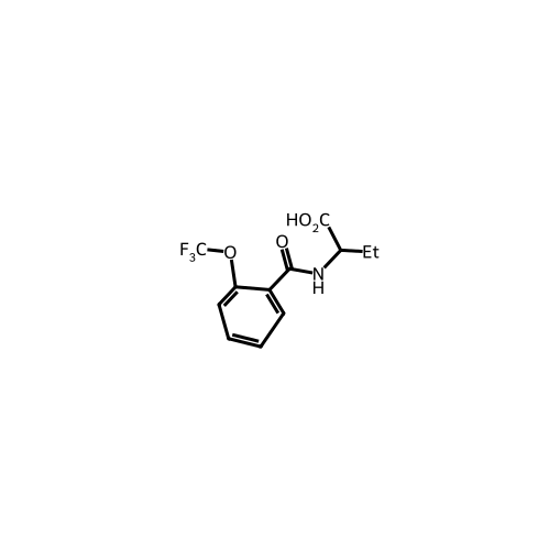 CCC(NC(=O)c1ccccc1OC(F)(F)F)C(=O)O